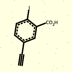 C#Cc1ccc(I)c(C(=O)O)c1